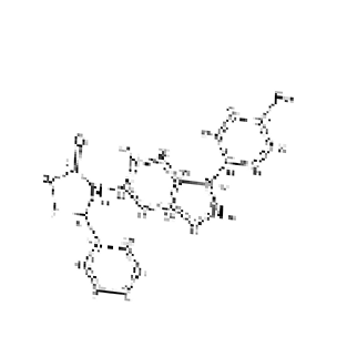 O=C1CCC(c2ccccc2)N1c1cc2cnn(-c3ccc(F)cc3)c2cn1